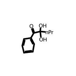 CCCC(O)(O)C(=O)c1ccccc1